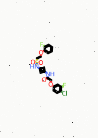 O=C(COc1ccc(Cl)c(F)c1)NC12CC(NS(=O)(=O)CCOc3ccccc3F)(C1)C2